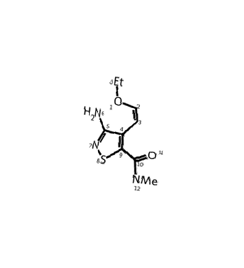 CCO/C=C\c1c(N)nsc1C(=O)NC